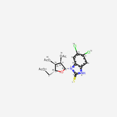 CC(=O)OC[C@H]1O[C@@H](n2c(=S)[nH]c3cc(Cl)c(Cl)cc32)[C@H](OC(C)=O)[C@@H]1OC(C)=O